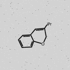 CC(C)C1=Cc2ccccc2OC1